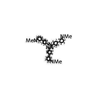 CNc1cccc(-c2ccc(-c3nc(-c4ccc(-c5cccc(NC)c5)cc4)nc(-c4ccc(-c5cccc(NC)c5)cc4)n3)cc2)c1